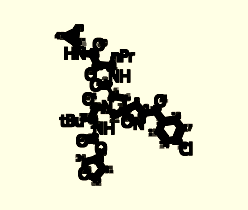 CCC[C@H](NC(=O)[C@@H]1C[C@]2(CC(C(=O)c3ccc(Cl)cc3)=NO2)CN1C(=O)[C@@H](NC(=O)O[C@H]1CCOC1)C(C)(C)C)C(=O)C(=O)NC1CC1